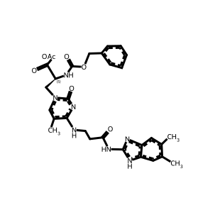 CC(=O)OC(=O)[C@H](Cn1cc(C)c(NCCC(=O)Nc2nc3cc(C)c(C)cc3[nH]2)nc1=O)NC(=O)OCc1ccccc1